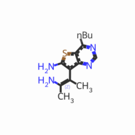 CCCCc1ncnc2c(/C(C)=C(/C)N)c(N)sc12